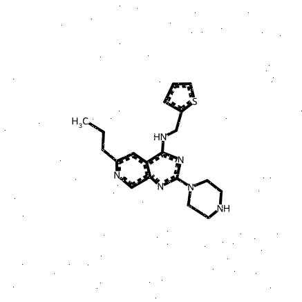 CCCc1cc2c(NCc3cccs3)nc(N3CCNCC3)nc2cn1